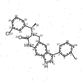 Cc1cc(-c2n[nH]c3cc4c(cc23)CN([C@H](C)c2cccc(Cl)c2)C(=O)N4)ccn1